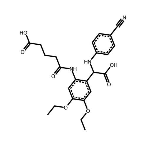 CCOc1cc(NC(=O)CCCC(=O)O)c(C(Nc2ccc(C#N)cc2)C(=O)O)cc1OCC